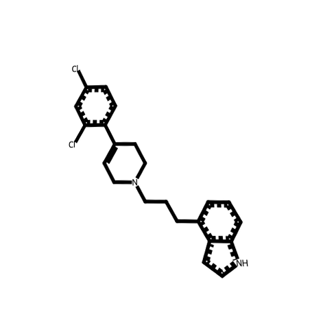 Clc1ccc(C2=CCN(CCCc3cccc4[nH]ccc34)CC2)c(Cl)c1